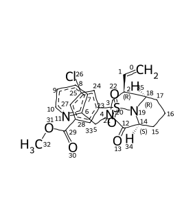 C=C[C@@H]1CN(Cc2ccccn2)C(=O)[C@@H]2CCC[C@H]1N2S(=O)(=O)c1cc(Cl)cc(C(=O)OC)c1